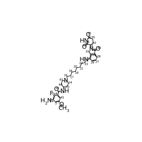 COc1cc(N)c(F)c(C(=O)NC2CCN(CCCCCCCCNc3cccc4c3CN(C3CCC(=O)NC3=O)C4=O)CC2)c1